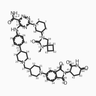 CN1C(=O)N(C2CCCN(c3nnc(C(N)=O)c(Nc4ccc(C5CCN(CC6CCN(c7ccc8c(c7)C(=O)N(C7CCC(=O)NC7=O)C8=O)CC6)CC5)cc4)n3)C2)CC12CCC2